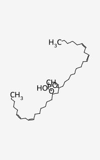 CCCCC/C=C\C/C=C\CCCCCCCCC(CCCCCCCC/C=C\C/C=C\CCCCC)OP(C)(=O)O